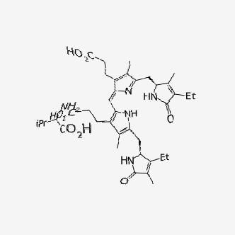 CC(C)C(N)C(=O)O.CCC1=C(C)[C@H](CC2=N/C(=C\c3[nH]c(C[C@@H]4NC(=O)C(C)=C4CC)c(C)c3CCC(=O)O)C(CCC(=O)O)=C2C)NC1=O